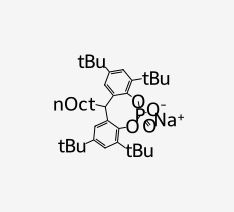 CCCCCCCCC1c2cc(C(C)(C)C)cc(C(C)(C)C)c2OP(=O)([O-])Oc2c1cc(C(C)(C)C)cc2C(C)(C)C.[Na+]